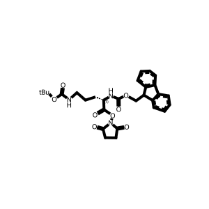 CC(C)(C)OC(=O)NCCC[C@H](NC(=O)OCC1c2ccccc2-c2ccccc21)C(=O)ON1C(=O)CCC1=O